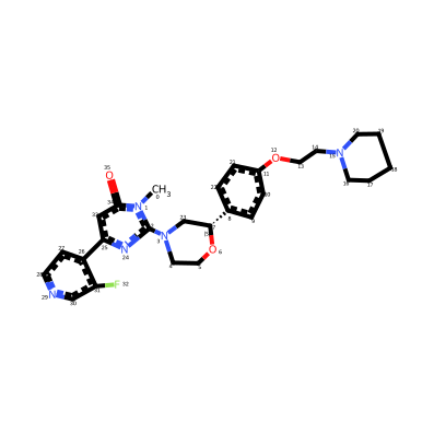 Cn1c(N2CCO[C@@H](c3ccc(OCCN4CCCCC4)cc3)C2)nc(-c2ccncc2F)cc1=O